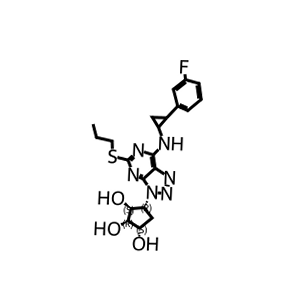 CCCSc1nc(NC2CC2c2cccc(F)c2)c2nnn([C@@H]3C[C@H](O)[C@@H](O)[C@H]3O)c2n1